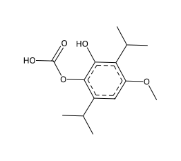 COc1cc(C(C)C)c(OC(=O)O)c(O)c1C(C)C